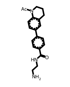 CC(=O)N1CCCc2cc(-c3ccc(C(=O)NCCN)cc3)ccc21